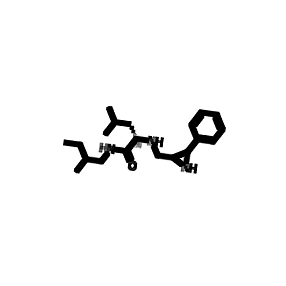 CCC(C)CNC(=O)[C@H](CC(C)C)NCC1NC1c1ccccc1